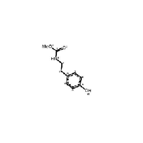 COC(=O)NCCc1ccc(O)cc1